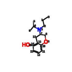 CCCN(C(C)C)C1COc2cccc(O)c2C1